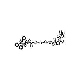 O=C(CN1Cc2ccccc2[C@@H]2OC(c3ccccc3)=N[C@]2(Cc2ccccc2)C1=O)NCCOCCOCCOCCOCC(=O)Nc1cccc2c1CN(C1CCC(=O)NC1=O)C2=O